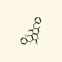 Cc1cc2oc(=O)c(Sc3ccccc3)c(N)c2c(=O)n1Cc1ccccc1